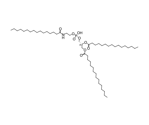 CCCCCCCCCCCCCCCC(=O)NCCOP(=O)(O)OC[C@@H](COC(=O)CCCCCCCCCCCCCCC)OC(=O)CCCCCCCCCCCCCCC